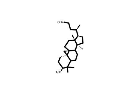 CC(=O)O[C@H]1CC[C@]23C[C@]24CC[C@]2(C)[C@@H]([C@H](C)CCC=O)CC[C@@]2(C)C4CCC3C1(C)C